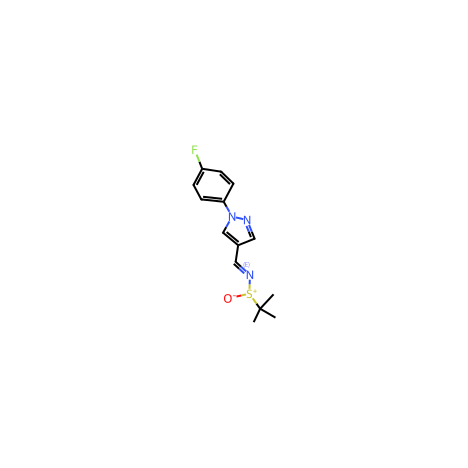 CC(C)(C)[S+]([O-])/N=C/c1cnn(-c2ccc(F)cc2)c1